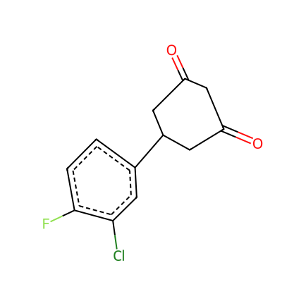 O=C1CC(=O)CC(c2ccc(F)c(Cl)c2)C1